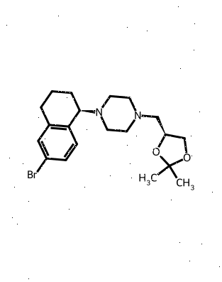 CC1(C)OC[C@H](CN2CCN([C@@H]3CCCc4cc(Br)ccc43)CC2)O1